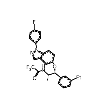 CCc1cccc([C@H](Oc2ccc3c(cnn3-c3ccc(F)cc3)c2)[C@H](C)NC(=O)C(F)(F)F)c1